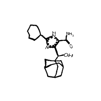 NC(=O)c1[nH]c(C2CCCCC2)nc1C(O)C12CC3CC(CC(C3)C1)C2